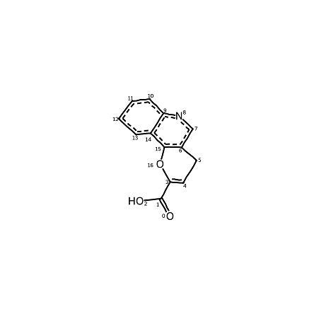 O=C(O)C1=CCc2cnc3ccccc3c2O1